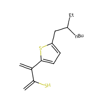 C=C(S)C(=C)c1ccc(CC(CC)CCCC)s1